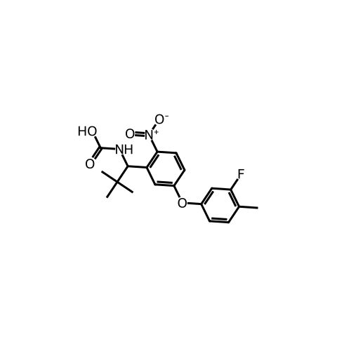 Cc1ccc(Oc2ccc([N+](=O)[O-])c(C(NC(=O)O)C(C)(C)C)c2)cc1F